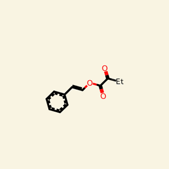 CCC(=O)C(=O)OC=Cc1ccccc1